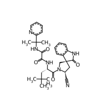 CC(C)(C)C[C@H](NC(=O)C(=O)NC(C)(C)c1ccccn1)C(=O)N1C[C@]2(C[C@H]1C#N)C(=O)Nc1ccccc12